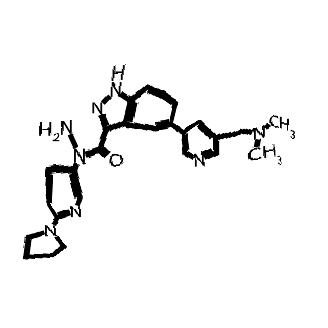 CN(C)Cc1cncc(-c2ccc3[nH]nc(C(=O)N(N)c4ccc(N5CCCC5)nc4)c3c2)c1